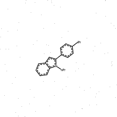 CCCn1c(-c2ccc(C(C)C)cc2)cc2ccccc21